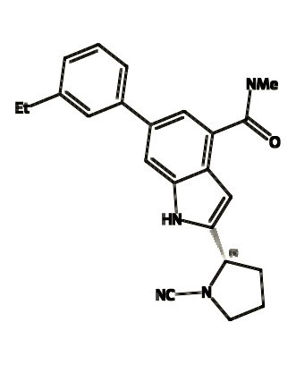 CCc1cccc(-c2cc(C(=O)NC)c3cc([C@@H]4CCCN4C#N)[nH]c3c2)c1